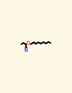 CCCCCC/C=C/COC(C#N)CC